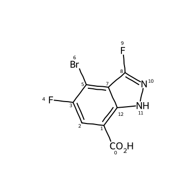 O=C(O)c1cc(F)c(Br)c2c(F)n[nH]c12